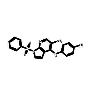 N#Cc1ccc(Nc2c(N)cnc3c2ccn3S(=O)(=O)c2ccccc2)cc1